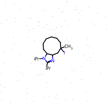 CC(C)C1=NC2CC(C)(I)CCCCCCC2N1C(C)C